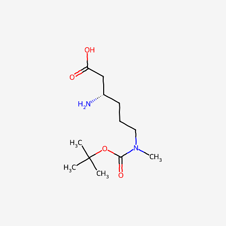 CN(CCC[C@H](N)CC(=O)O)C(=O)OC(C)(C)C